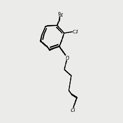 ClCCCCOc1cccc(Br)c1Cl